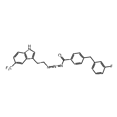 O=C(N=[N+]=NCCc1c[nH]c2ccc(C(F)(F)F)cc12)c1ccc(Cc2cccc(F)c2)cc1